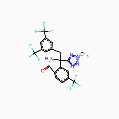 Cn1nnc(C(N)(Cc2cc(C(F)(F)F)cc(C(F)(F)F)c2)c2cc(C(F)(F)F)ccc2C=O)n1